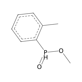 CO[PH](=O)c1ccccc1C